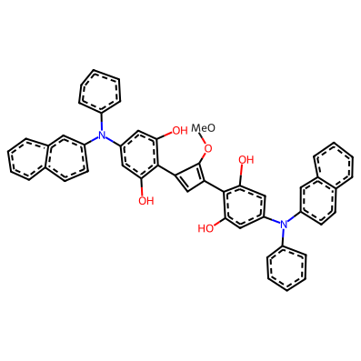 COOC1=C(c2c(O)cc(N(c3ccccc3)c3ccc4ccccc4c3)cc2O)C=C1c1c(O)cc(N(c2ccccc2)c2ccc3ccccc3c2)cc1O